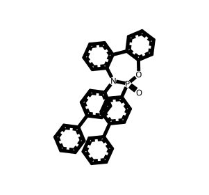 O=P1(c2ccc(-c3ccccc3)cc2)Oc2ccccc2-c2ccccc2N1c1ccc(-c2ccccc2)cc1